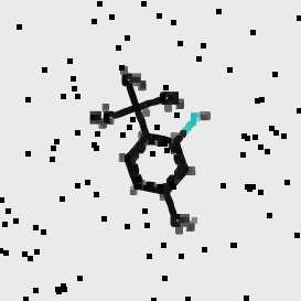 [CH2]c1ccc(C(C)(C)C)c(F)c1